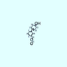 O=COCc1cccc(N2CCC(O)CC2)c1